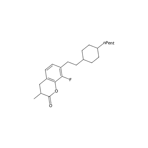 CCCCCC1CCC(CCc2ccc3c(c2F)OC(=O)C(C)C3)CC1